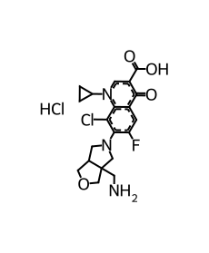 Cl.NCC12COCC1CN(c1c(F)cc3c(=O)c(C(=O)O)cn(C4CC4)c3c1Cl)C2